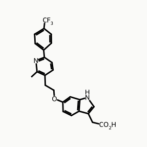 Cc1nc(-c2ccc(C(F)(F)F)cc2)ccc1CCOc1ccc2c(CC(=O)O)c[nH]c2c1